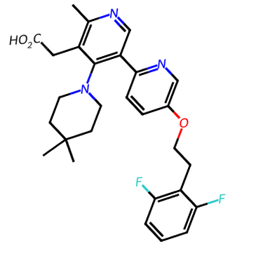 Cc1ncc(-c2ccc(OCCc3c(F)cccc3F)cn2)c(N2CCC(C)(C)CC2)c1CC(=O)O